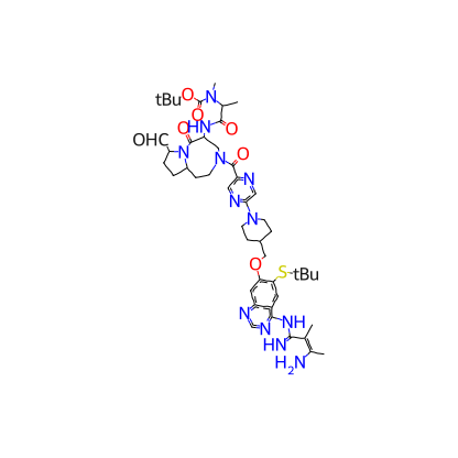 C/C(N)=C(\C)C(=N)Nc1ncnc2cc(OCC3CCN(c4cnc(C(=O)N5CCC6CCC(C=O)N6C(=O)C(NC(=O)C(C)N(C)C(=O)OC(C)(C)C)C5)cn4)CC3)c(SC(C)(C)C)cc12